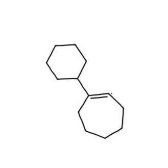 [C]1=C(C2CCCCC2)CCCCC1